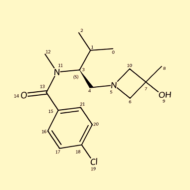 CC(C)[C@@H](CN1CC(C)(O)C1)N(C)C(=O)c1ccc(Cl)cc1